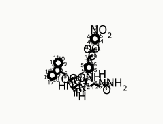 CC(C)[C@H](NC(=O)OCC1c2ccccc2-c2ccccc21)C(=O)N[C@@H](CCCNC(N)=O)C(=O)Nc1ccc(COC(=O)Oc2ccc([N+](=O)[O-])cc2)cc1